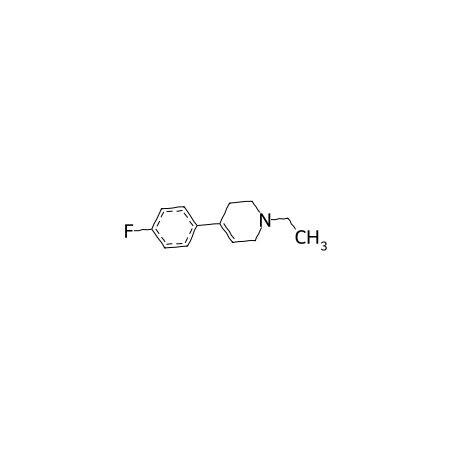 CCN1CC=C(c2ccc(F)cc2)CC1